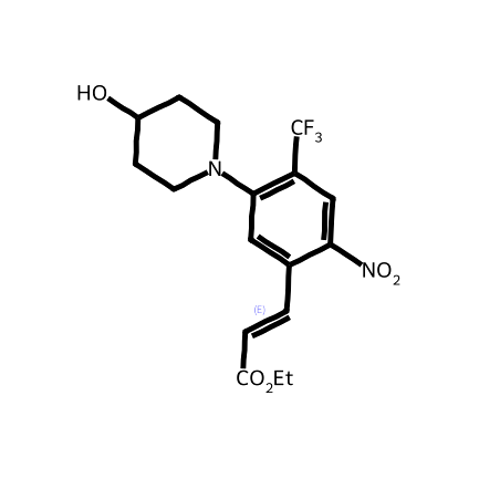 CCOC(=O)/C=C/c1cc(N2CCC(O)CC2)c(C(F)(F)F)cc1[N+](=O)[O-]